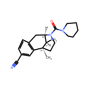 C[C@@H]1[C@H]2Cc3ccc(C#N)cc3[C@]1(C)CCN2C(=O)N1CCCCC1